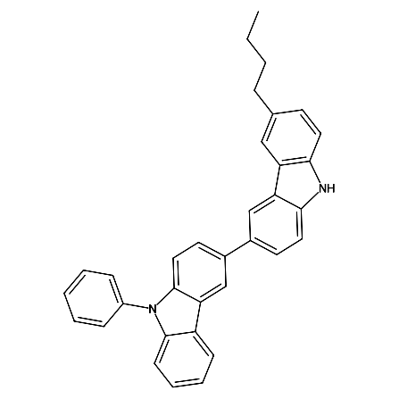 CCCCc1ccc2[nH]c3ccc(-c4ccc5c(c4)c4ccccc4n5-c4ccccc4)cc3c2c1